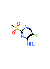 CS(=O)(=O)c1ncc(F)c(N)n1